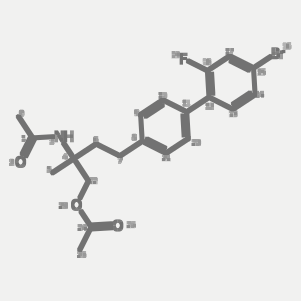 CC(=O)NC(C)(CCc1ccc(-c2ccc(Br)cc2F)cc1)COC(C)=O